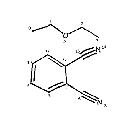 CCOCC.N#Cc1ccccc1C#N